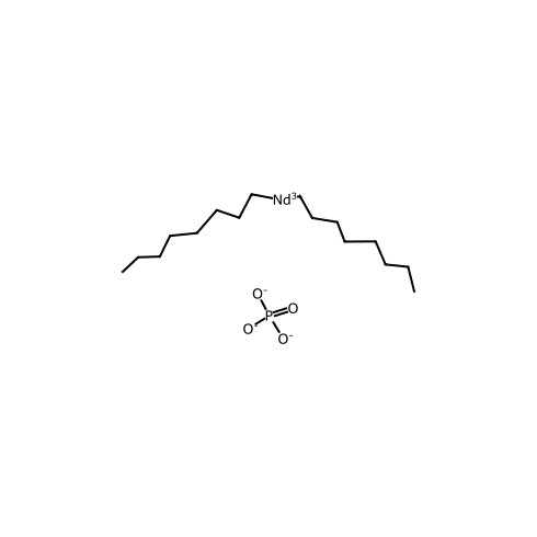 CCCCCCC[CH2][Nd+3][CH2]CCCCCCC.O=P([O-])([O-])[O-]